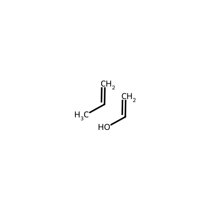 C=CC.C=CO